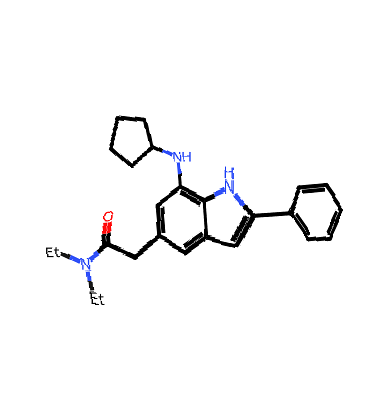 CCN(CC)C(=O)Cc1cc(NC2CCCC2)c2[nH]c(-c3ccccc3)cc2c1